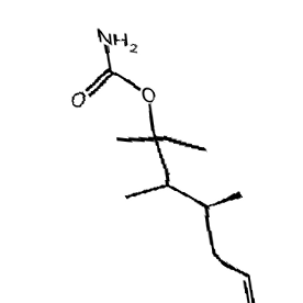 CC([C@@H](C)CC=N)C(C)(C)OC(N)=O